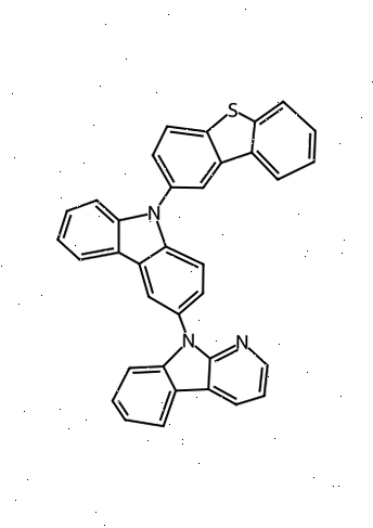 c1ccc2c(c1)sc1ccc(-n3c4ccccc4c4cc(-n5c6ccccc6c6cccnc65)ccc43)cc12